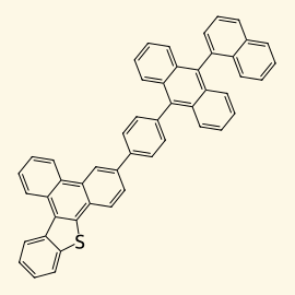 c1ccc2c(-c3c4ccccc4c(-c4ccc(-c5ccc6c(c5)c5ccccc5c5c7ccccc7sc65)cc4)c4ccccc34)cccc2c1